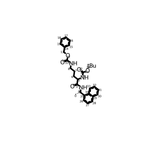 C[C@H](NC(=O)C(CCCNC(=O)OCc1ccccc1)NC(=O)OC(C)(C)C)c1cccc2ccccc12